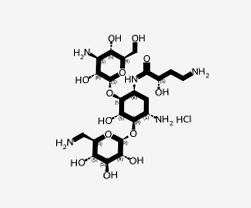 Cl.NCC[C@H](O)C(=O)N[C@@H]1C[C@H](N)[C@@H](O[C@H]2O[C@H](CN)[C@@H](O)[C@H](O)[C@H]2O)[C@H](O)[C@H]1O[C@H]1O[C@H](CO)[C@@H](O)[C@H](N)[C@H]1O